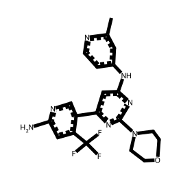 Cc1cc(Nc2cc(-c3cnc(N)cc3C(F)(F)F)nc(N3CCOCC3)n2)ccn1